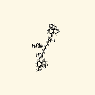 CCc1c(CCNCCC=CCCNCCc2ccc(OC)c(OC)c2CC)ccc(OC)c1OC.Cl.Cl